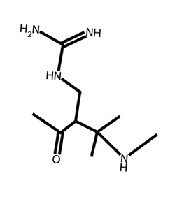 CNC(C)(C)C(CNC(=N)N)C(C)=O